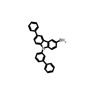 Bc1ccc2c(c1)c1cc(-c3ccccc3)ccc1n2-c1cccc(-c2ccccc2)c1